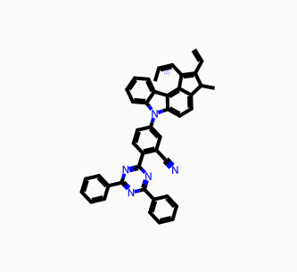 C=CC1=C(/C=C\C)c2c(ccc3c2c2ccccc2n3-c2ccc(-c3nc(-c4ccccc4)nc(-c4ccccc4)n3)c(C#N)c2)C1C